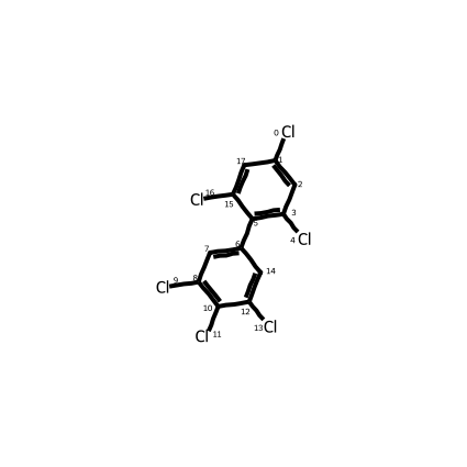 Clc1cc(Cl)c(-c2cc(Cl)c(Cl)c(Cl)c2)c(Cl)c1